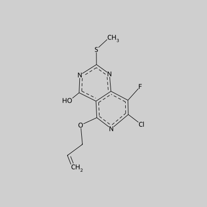 C=CCOc1nc(Cl)c(F)c2nc(SC)nc(O)c12